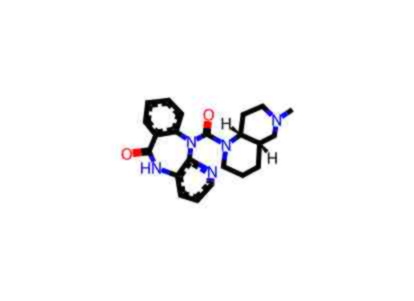 CN1CC[C@@H]2[C@@H](CCCN2C(=O)N2c3ccccc3C(=O)Nc3cccnc32)C1